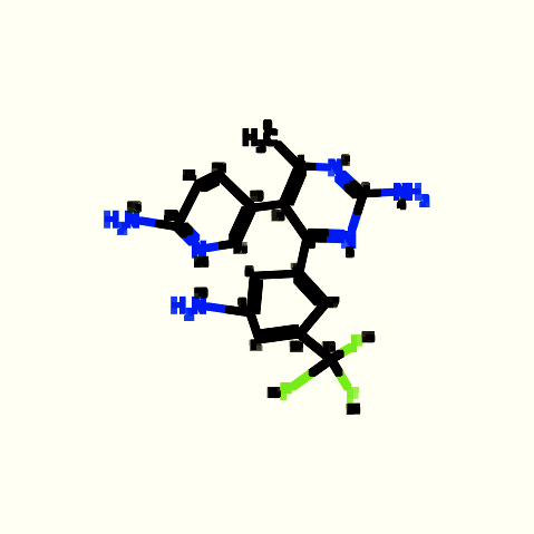 Cc1nc(N)nc(-c2cc(N)cc(C(F)(F)F)c2)c1-c1ccc(N)nc1